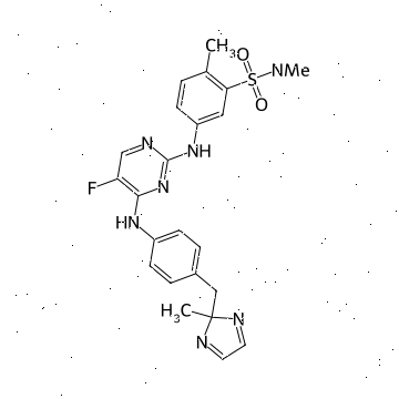 CNS(=O)(=O)c1cc(Nc2ncc(F)c(Nc3ccc(CC4(C)N=CC=N4)cc3)n2)ccc1C